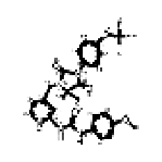 COc1ccc(NC(=O)Nc2cc(CN3C(=O)N(c4ccc(SC(F)(F)F)cc4)C(=O)C3(C)C)ccn2)cc1